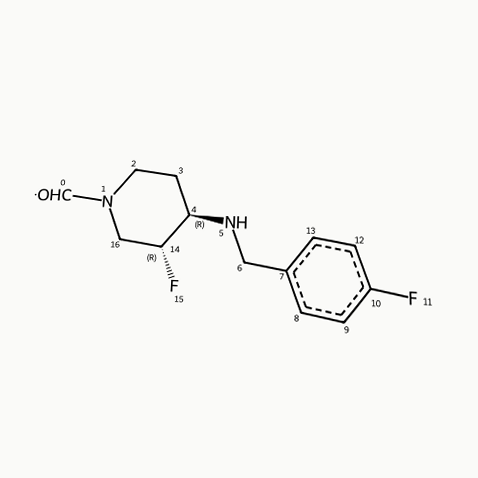 O=[C]N1CC[C@@H](NCc2ccc(F)cc2)[C@H](F)C1